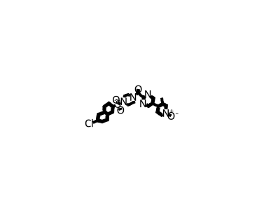 Cc1c[n+]([O-])ccc1-c1cnc(C(=O)N2CCN(S(=O)(=O)c3ccc4cc(Cl)ccc4c3)CC2)nc1